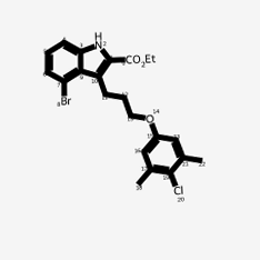 CCOC(=O)c1[nH]c2cccc(Br)c2c1CCCOc1cc(C)c(Cl)c(C)c1